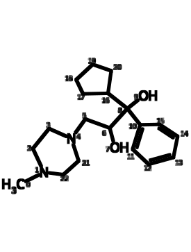 CN1CCN(CC(O)C(O)(c2ccccc2)C2CCCC2)CC1